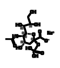 CC(=O)N[C@H]1[C@H]([C@H](O)[C@H](O)CO)O[C@](OP(=O)(O)O)(C(=O)[O-])C[C@@H]1O.[Na+]